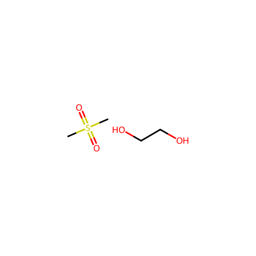 CS(C)(=O)=O.OCCO